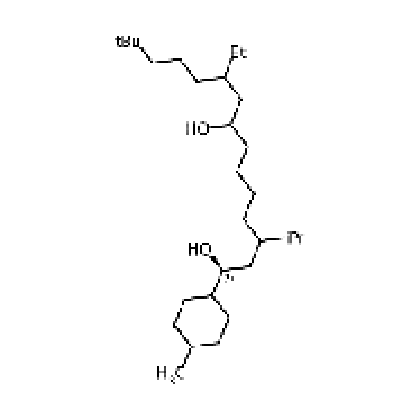 CCC(CCCC(C)(C)C)CC(O)CCCCC(C[C@H](O)C1CCC(C)CC1)C(C)C